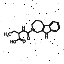 CCC(NC(=O)N1CCCc2c([nH]c3ccccc23)C1)C(=O)O